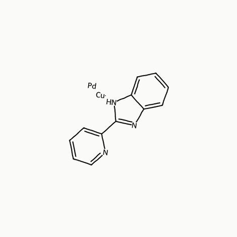 [Cu].[Pd].c1ccc(-c2nc3ccccc3[nH]2)nc1